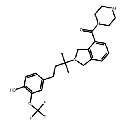 CC(C)(CCc1ccc(O)c(OC(F)(F)F)c1)N1Cc2cccc(C(=O)N3CCNCC3)c2C1